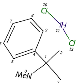 CNC(C)(C)c1ccccc1.Cl[IH]Cl